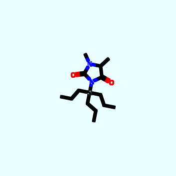 CCC[Si](CCC)(CCC)N1C(=O)C(C)N(C)C1=O